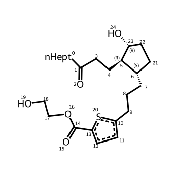 CCCCCCCC(=O)CC[C@@H]1[C@@H](CCCc2ccc(C(=O)OCCO)s2)CC[C@H]1O